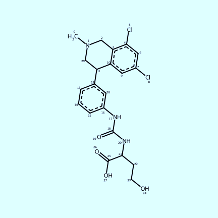 CN1Cc2c(Cl)cc(Cl)cc2C(c2cccc(NC(=O)NC(CCO)C(=O)O)c2)C1